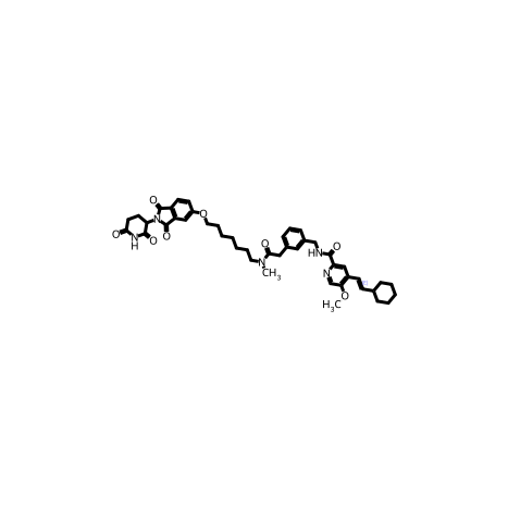 COc1cnc(C(=O)NCc2cccc(CC(=O)N(C)CCCCCCCOc3ccc4c(c3)C(=O)N(C3CCC(=O)NC3=O)C4=O)c2)cc1/C=C/C1CCCCC1